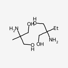 CC(N)(CO)CO.CCC(N)(CO)CO